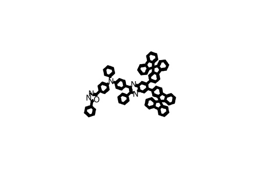 c1ccc(-c2nnc(-c3ccc(N(c4ccccc4)c4ccc(-c5nc6cc(-c7ccc8c(c7)C7(c9ccccc9-c9ccccc97)c7ccccc7-8)c(-c7ccc8c(c7)C7(c9ccccc9-c9ccccc97)c7ccccc7-8)cc6nc5-c5ccccc5)cc4)cc3)o2)cc1